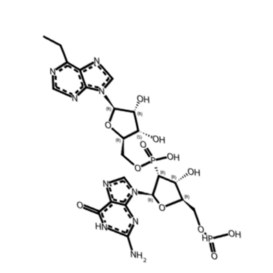 CCc1ncnc2c1ncn2[C@@H]1O[C@H](COP(=O)(O)[C@@H]2[C@H](O)[C@@H](CO[PH](=O)O)O[C@H]2n2cnc3c(=O)[nH]c(N)nc32)[C@@H](O)[C@H]1O